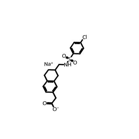 O=C([O-])Cc1ccc2c(c1)CC(CNS(=O)(=O)c1ccc(Cl)cc1)CC2.[Na+]